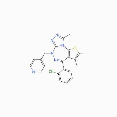 Cc1sc2c(c1C)C(c1ccccc1Cl)=NN(Cc1ccncc1)c1nnc(C)n1-2